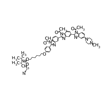 CC(=O)n1c(-c2ccc(OCCCCCCOP(OCCC#N)N(C(C)C)C(C)C)cc2)nc2cc(-c3nc4cc(-c5nc6cc(N7CCN(C)CC7)ccc6n5C(C)=O)ccc4n3C(C)=O)ccc21